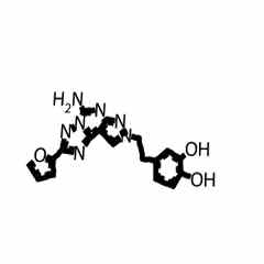 Nc1nc2nn(CCc3ccc(O)c(O)c3)cc2c2nc(-c3ccco3)nn12